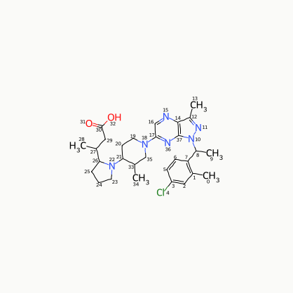 Cc1cc(Cl)ccc1C(C)n1nc(C)c2ncc(N3CCC(N4CCCC4C(C)CC(=O)O)C(C)C3)nc21